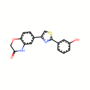 O=C1COc2ccc(-c3csc(-c4cccc(O)c4)n3)cc2N1